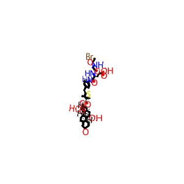 Cc1c([C@@H]2O[C@@H]3C[C@H]4[C@@H]5CCC6=CC(=O)C=C[C@]6(C)[C@H]5[C@@H](O)C[C@]4(C)[C@]3(C(=O)CO)O2)csc1Cc1ccc(NC(=O)[C@H](CCC(=O)O)NC(=O)CNC(=O)CBr)cc1